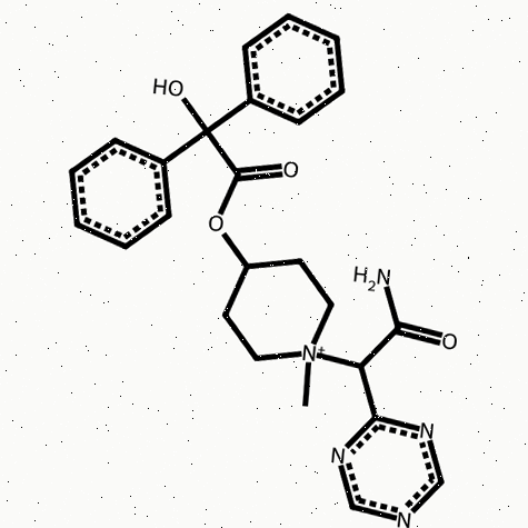 C[N+]1(C(C(N)=O)c2ncncn2)CCC(OC(=O)C(O)(c2ccccc2)c2ccccc2)CC1